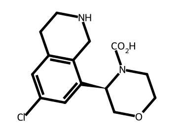 O=C(O)N1CCOC[C@H]1c1cc(Cl)cc2c1CNCC2